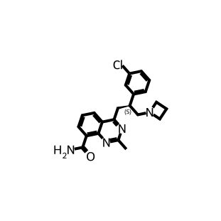 Cc1nc(C[C@H](CN2CCC2)c2cccc(Cl)c2)c2cccc(C(N)=O)c2n1